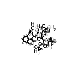 CC#Cc1cccc2cncc(C(C#N)NC(=O)[C@@H]3[C@@H]4[C@H](CN3C(=O)[C@@H](NC(=O)C(F)(F)F)[C@@H](C)OC3(C)CC3)C4(C)C)c12